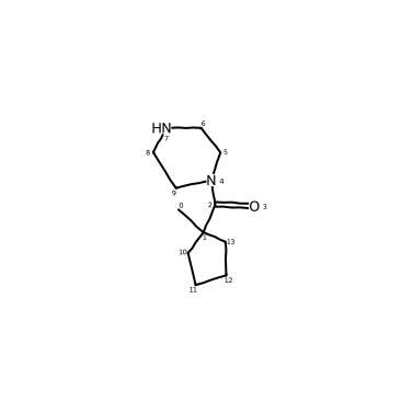 CC1(C(=O)N2CCNCC2)CCCC1